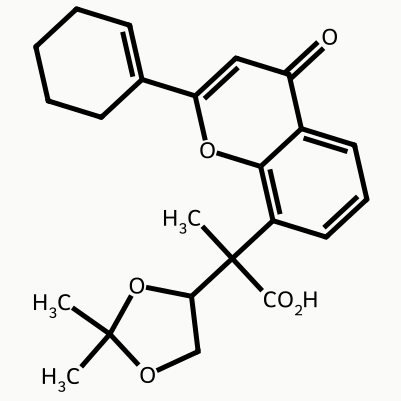 CC1(C)OCC(C(C)(C(=O)O)c2cccc3c(=O)cc(C4=CCCCC4)oc23)O1